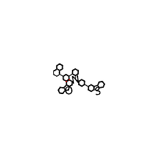 C1=c2ccccc2=C(c2cccc(-c3ccccc3N(c3ccc(-c4ccc5sc6ccccc6c5c4)cc3)c3ccc4c(c3)oc3ccccc34)c2)CC1